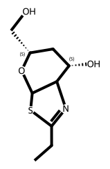 CCC1=NC2C(O[C@H](CO)C[C@@H]2O)S1